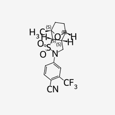 C[C@@]12CC[C@@H](O1)[C@@H]1CN(c3ccc(C#N)c(C(F)(F)F)c3)S(=O)(=O)[C@@H]12